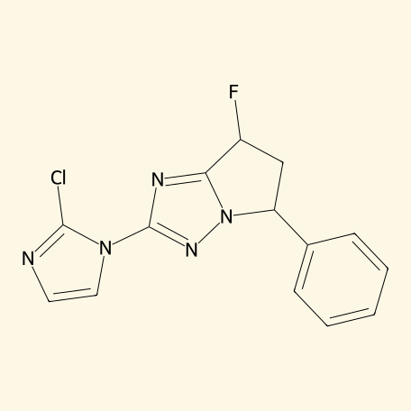 FC1CC(c2ccccc2)n2nc(-n3ccnc3Cl)nc21